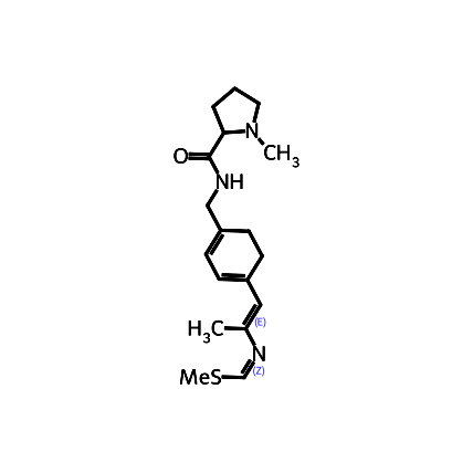 CS/C=N\C(C)=C\C1=CC=C(CNC(=O)C2CCCN2C)CC1